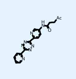 CC(=O)CCC(=O)Nc1ccc(-c2nnc(-c3ccccn3)nn2)nc1